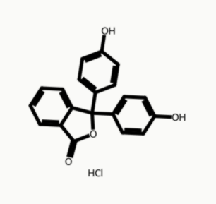 Cl.O=C1OC(c2ccc(O)cc2)(c2ccc(O)cc2)c2ccccc21